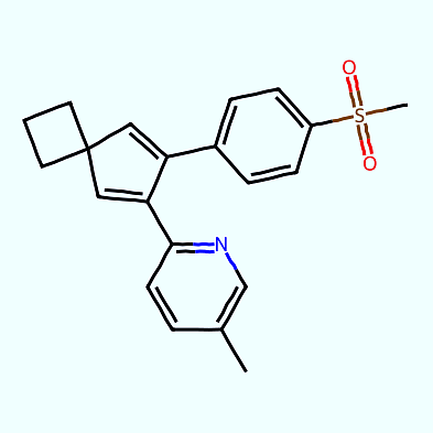 Cc1ccc(C2=CC3(C=C2c2ccc(S(C)(=O)=O)cc2)CCC3)nc1